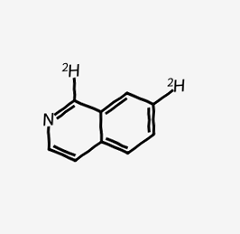 [2H]c1ccc2ccnc([2H])c2c1